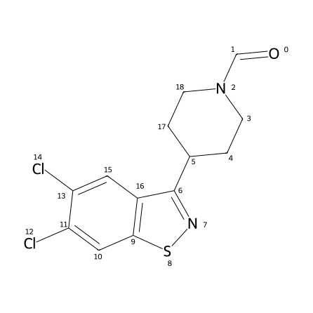 O=CN1CCC(c2nsc3cc(Cl)c(Cl)cc23)CC1